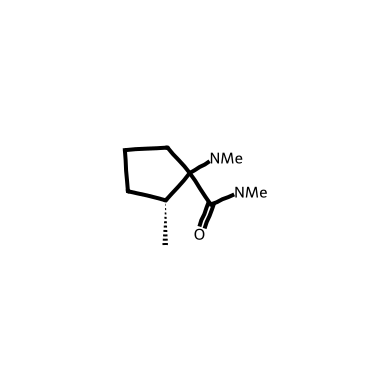 CNC(=O)C1(NC)CCC[C@H]1C